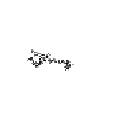 O=C1CCC(Nc2ccc(N3CCN(C(=O)CNC(=O)c4ccc5c(c4)NC(=O)c4cnn6ccc(nc46)NCc4cc(F)ccc4O5)CC3)cc2)C(=O)N1